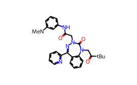 CNc1cccc(NC(=O)CN2N=C(c3ccccn3)c3ccccc3N(CC(=O)C(C)(C)C)C2=O)c1